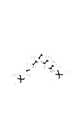 C=C(C)C(=O)O.C=C(C)C(=O)O.C=C(C)C(=O)O.C=C(C)C(=O)O.CCC(=O)O.OCC(CO)(CO)CO.OCC(CO)(CO)CO